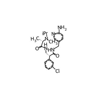 CC(C)N(C)[C@@H](C)C(=O)NC[C@H](C(=O)NCc1ccc(N)nc1)c1cccc(Cl)c1